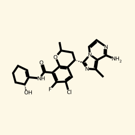 Cc1nc([C@H]2CC(C)Oc3c2cc(Cl)c(F)c3C(=O)NC2=CCCC[C@H]2O)n2ccnc(N)c12